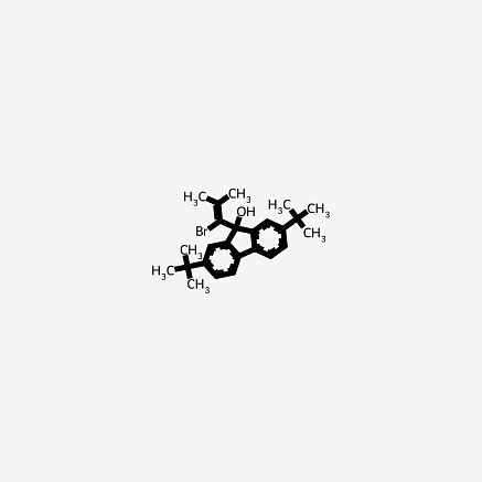 CC(C)=C(Br)C1(O)c2cc(C(C)(C)C)ccc2-c2ccc(C(C)(C)C)cc21